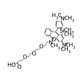 CN(CCOCCOCCOCCC(=O)O)C(=O)c1ccccc1C1=C2C=CC(=[N+](C)C)C=C2[Si](C)(C)c2cc(N(C)C)ccc21